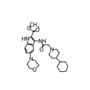 COC(=O)c1[nH]c2ccc(N3CCOCC3)cc2c1NC(=O)CN1CCC(C2CCCCC2)CC1